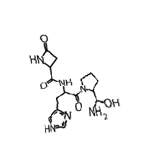 NC(O)C1CCCN1C(=O)C(Cc1c[nH]cn1)NC(=O)C1CC(=O)N1